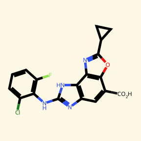 O=C(O)c1cc2nc(Nc3c(F)cccc3Cl)[nH]c2c2nc(C3CC3)oc12